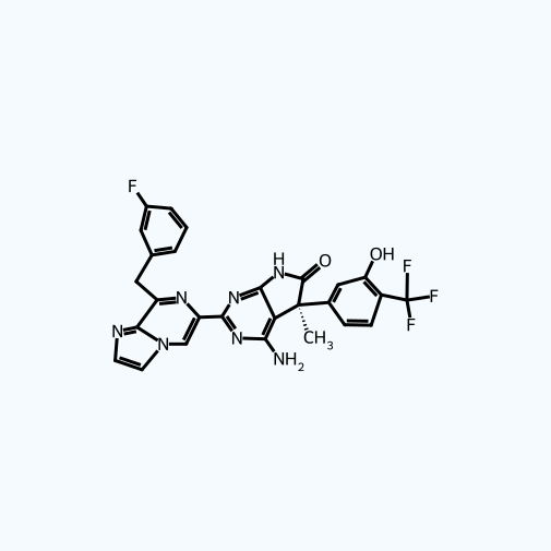 C[C@@]1(c2ccc(C(F)(F)F)c(O)c2)C(=O)Nc2nc(-c3cn4ccnc4c(Cc4cccc(F)c4)n3)nc(N)c21